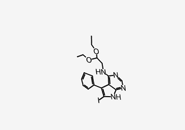 CCOC(CNc1ncnc2[nH]c(I)c(-c3ccccc3)c12)OCC